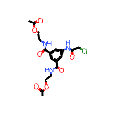 CC(=O)OCCNC(=O)c1cc(NC(=O)CCl)cc(C(=O)NCCOC(C)=O)c1